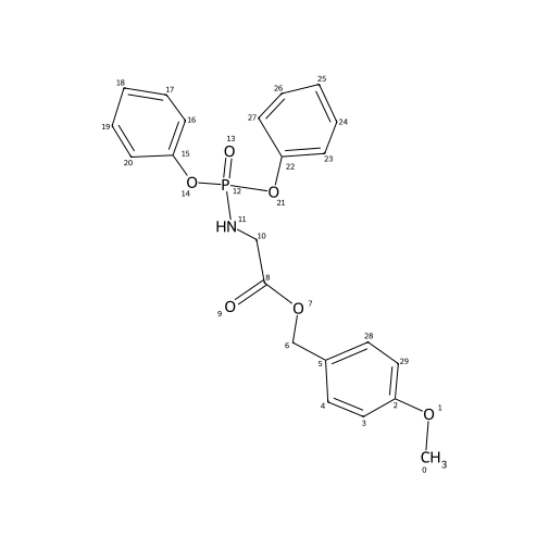 COc1ccc(COC(=O)CNP(=O)(Oc2ccccc2)Oc2ccccc2)cc1